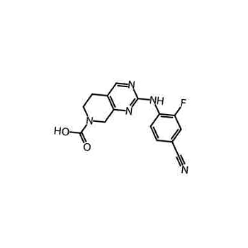 N#Cc1ccc(Nc2ncc3c(n2)CN(C(=O)O)CC3)c(F)c1